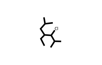 CCC(CC(C)C)C(Cl)C(C)C